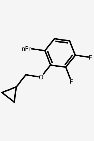 CCCc1ccc(F)c(F)c1OCC1CC1